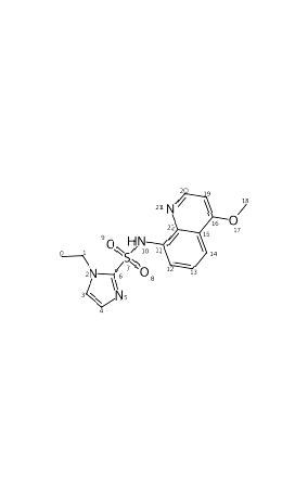 CCn1ccnc1S(=O)(=O)Nc1cccc2c(OC)ccnc12